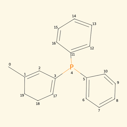 CC1=CC(P(c2ccccc2)c2ccccc2)=CCC1